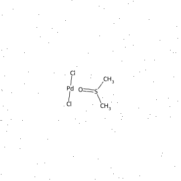 CS(C)=O.[Cl][Pd][Cl]